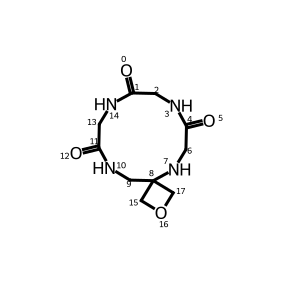 O=C1CNC(=O)CNC2(CNC(=O)CN1)COC2